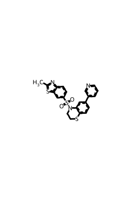 Cc1nc2ccc(S(=O)(=O)N3CCSc4ccc(-c5cccnc5)cc43)cc2s1